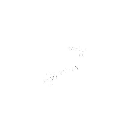 COc1ccccc1COCCCCCC[N+](C)(C)CCOCCOCCN1CCC(OC(=O)NC(c2ccccc2)c2ccccc2)CC1